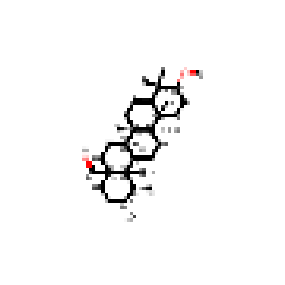 CO[C@H]1CC[C@@]2(C)C(CC[C@]3(C)[C@@H]2CC=C2[C@@H]4[C@@H](C)[C@H](C)CC[C@]4(C=O)CC[C@]23C)C1(C)C